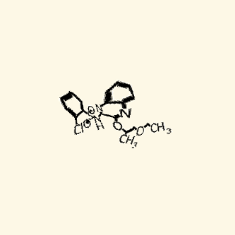 CCOCC(C)Oc1nc2ccccc2nc1NS(=O)(=O)c1ccccc1Cl